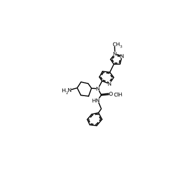 Cl.Cn1cc(-c2ccc(N(C(=O)NCc3ccccc3)C3CCC(N)CC3)nc2)cn1